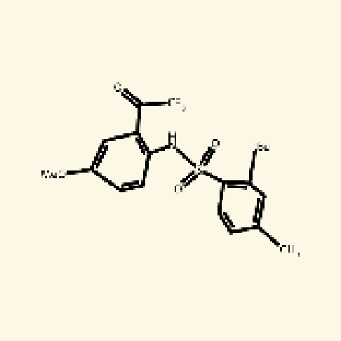 COc1ccc(NS(=O)(=O)c2ccc(C)cc2C(C)(C)C)c(C(=O)C(F)(F)F)c1